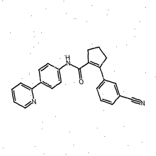 N#Cc1cccc(C2=C(C(=O)Nc3ccc(-c4ccccn4)cc3)CCC2)c1